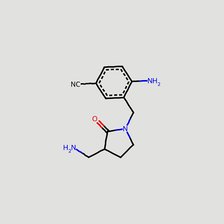 N#Cc1ccc(N)c(CN2CCC(CN)C2=O)c1